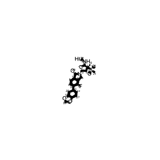 C[C@@](CCN1Cc2c(ccc(-c3ccc4c(c3)OCO4)c2F)C1=O)(C(=O)NO)S(C)(=O)=O